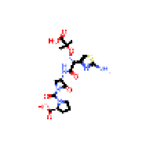 CC(C)(ON=C(C(=O)N[C@H]1CN(C(=O)N2CCC[C@H]2C(=O)O)C1=O)c1csc(N)n1)C(=O)O